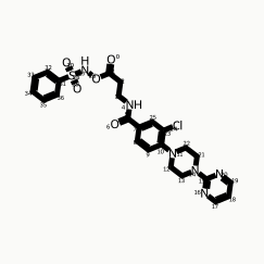 O=C(CCNC(=O)c1ccc(N2CCN(c3ncccn3)CC2)c(Cl)c1)ONS(=O)(=O)c1ccccc1